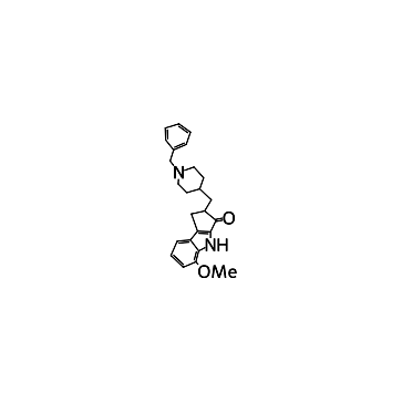 COc1cccc2c3c([nH]c12)C(=O)C(CC1CCN(Cc2ccccc2)CC1)C3